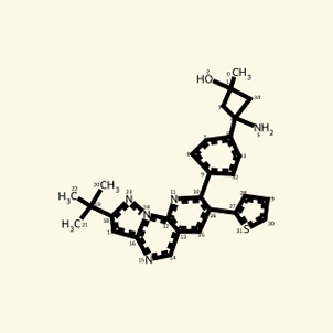 CC1(O)CC(N)(c2ccc(-c3nc4c(cnc5cc(C(C)(C)C)nn54)cc3-c3cccs3)cc2)C1